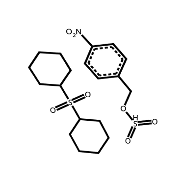 O=S(=O)(C1CCCCC1)C1CCCCC1.O=[N+]([O-])c1ccc(CO[SH](=O)=O)cc1